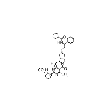 Cc1nc(N2CCCC2C(=O)O)nc(C)c1C(=O)N1CC2CN(CCC(NC(=O)C3CCCC3)c3ccccc3)CC2C1